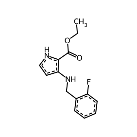 CCOC(=O)c1[nH]ccc1NCc1ccccc1F